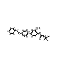 CC(C)(C)NC(=O)Oc1ccc(-c2ccc(OCc3ccccc3)nc2)cc1N